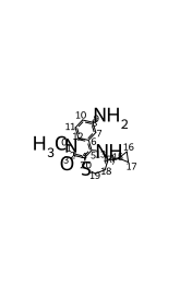 Cn1c(=O)c2c(c3cc(N)ccc31)N[C@@H](C1CC1)CCS2